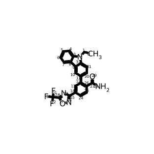 CCn1c2ccccc2c2cc(-c3cc(-c4noc(C(F)(F)F)n4)ccc3C(N)=O)ccc21